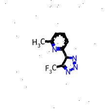 Cc1cccc(C2N=NN=C2C(F)(F)F)n1